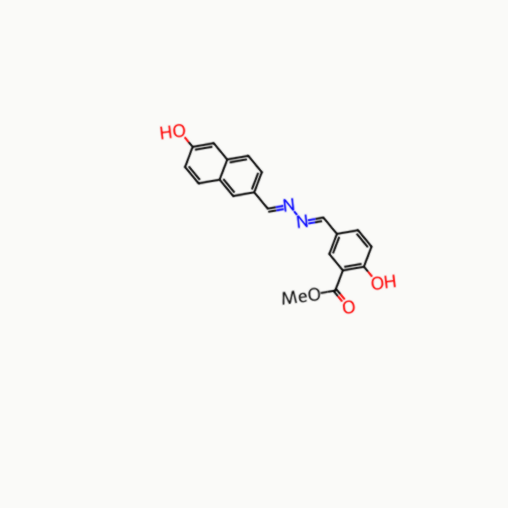 COC(=O)c1cc(/C=N/N=C/c2ccc3cc(O)ccc3c2)ccc1O